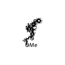 COCCN(C)CC=CC(=O)N1CCC(n2c(C)c(-c3ccc(Oc4ccccc4)cc3)c3c(N)ncnc32)C1